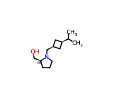 CC(C)[C@H]1C[C@@H](CN2CCC[C@H]2CO)C1